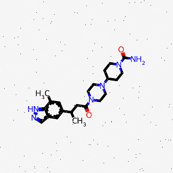 Cc1cc(C(C)[CH]C(=O)N2CCN(C3CCN(C(N)=O)CC3)CC2)cc2cn[nH]c12